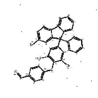 Cc1cc(C2(c3ccccc3)c3ccccc3-c3ccc(Br)cc32)cc(C)c1Oc1ccc(C=O)cc1